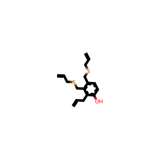 C=CCSCc1ccc(O)c(CC=C)c1CSCC=C